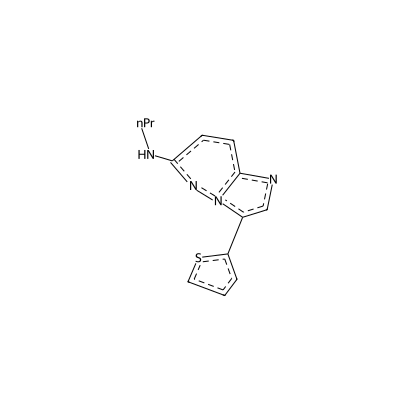 CCCNc1ccc2ncc(-c3cccs3)n2n1